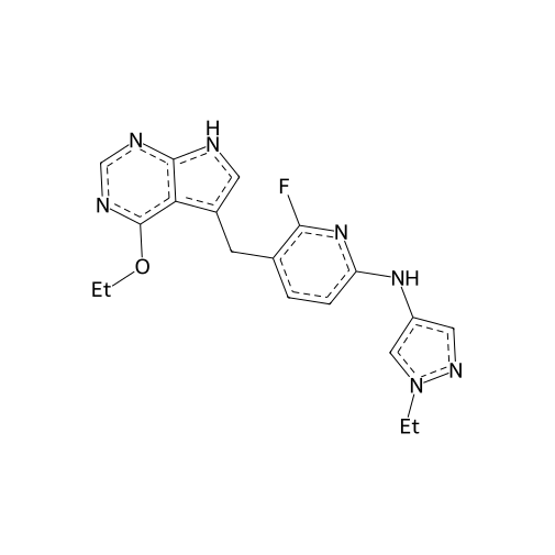 CCOc1ncnc2[nH]cc(Cc3ccc(Nc4cnn(CC)c4)nc3F)c12